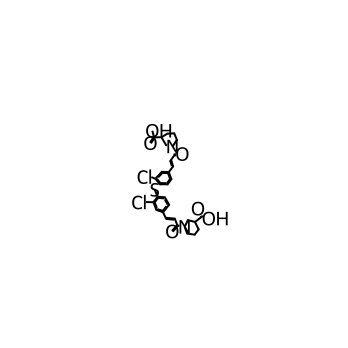 O=C(O)C1CCCN(C(=O)/C=C/c2ccc(Sc3ccc(/C=C/C(=O)N4CCCC(C(=O)O)C4)cc3Cl)c(Cl)c2)C1